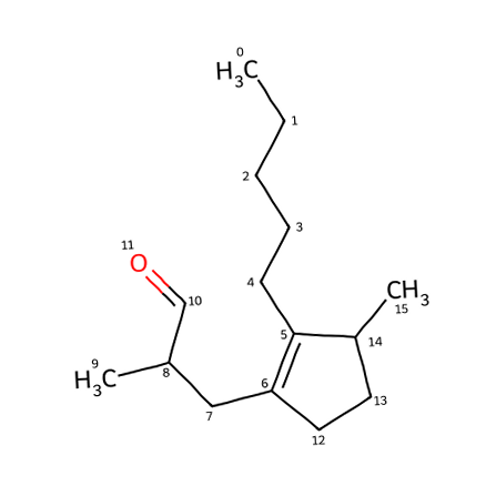 CCCCCC1=C(CC(C)C=O)CCC1C